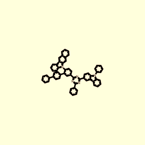 c1ccc(-c2ccc(-c3cc(-c4nc(-c5ccccc5)nc(-c5ccc6c(c5)c5ccccc5n6-c5ccccc5)n4)ccc3-n3c4ccccc4c4cc5ccccc5cc43)cc2)cc1